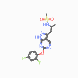 CC(Cc1n[nH]c2nc(Oc3ccc(F)cc3F)ncc12)NS(C)(=O)=O